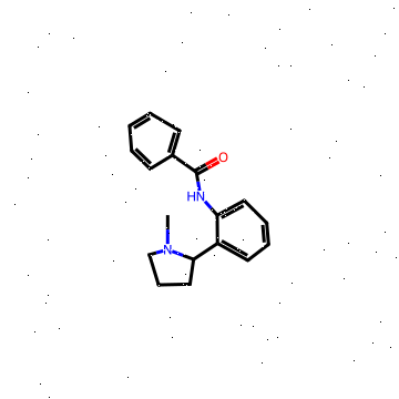 CN1CCCC1c1ccccc1NC(=O)c1ccccc1